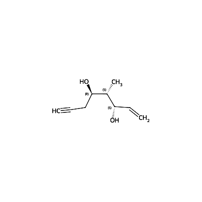 C#CC[C@@H](O)[C@H](C)[C@@H](O)C=C